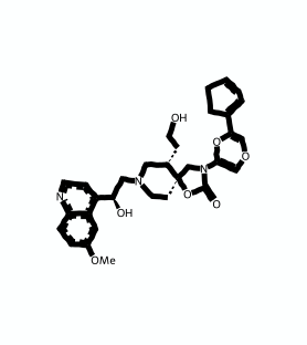 COc1ccc2nccc([C@H](O)CN3CC[C@@]4(CN(C5=COC=C(C6=CC=CCC6)O5)C(=O)O4)[C@@H](CCO)C3)c2c1